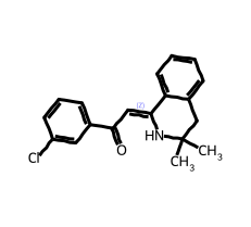 CC1(C)Cc2ccccc2/C(=C/C(=O)c2cccc(Cl)c2)N1